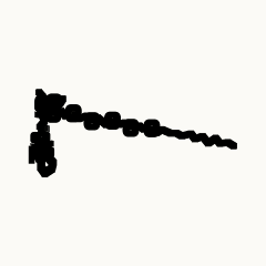 CCCCCCCCCCCCCOCCOCCOCCOCCOCCO[Si](CCCSSc1nc2ccccc2s1)(OCC)OCC